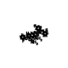 NC(=O)OC(c1cccc(Oc2ccccc2F)c1)c1c(N)nc(-n2nc(Cc3ccccc3F)c3ncc(F)cc32)nc1N